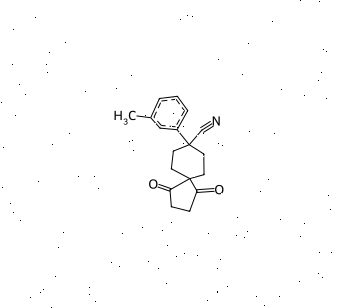 Cc1cccc(C2(C#N)CCC3(CC2)C(=O)CCC3=O)c1